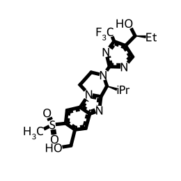 CC[C@H](O)c1cnc(N2CCn3c(nc4cc(CO)c(S(C)(=O)=O)cc43)[C@@H]2C(C)C)nc1C(F)(F)F